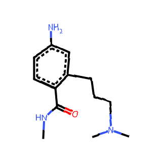 CNC(=O)c1ccc(N)cc1CCCN(C)C